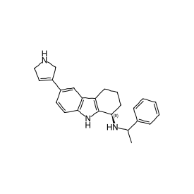 CC(N[C@@H]1CCCc2c1[nH]c1ccc(C3=CCNC3)cc21)c1ccccc1